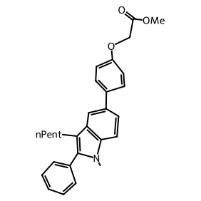 CCCCCc1c(-c2ccccc2)n(C)c2ccc(-c3ccc(OCC(=O)OC)cc3)cc12